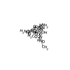 C=CCCC(=O)NCc1nc(C(=O)OC2[C@@H](COP(=O)(O)OC3C[C@H](n4ccc(N)nc4=O)O[C@@H]3COP(=O)(O)O)O[C@@H](n3cnc4c(N)ncnc43)[C@H]2O)c(-c2ccc(C)cc2)s1